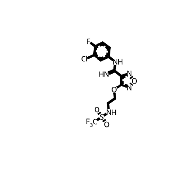 N=C(Nc1ccc(F)c(Cl)c1)c1nonc1OCCNS(=O)(=O)C(F)(F)F